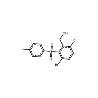 Cc1ccc(S(=O)(=O)c2c(Br)ccc(Cl)c2CO)cc1